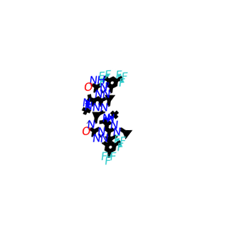 Cc1nn(C(C)(C)C)c2nc(N(CC3CC3)CC3CC3)c(CN(Cc3cc(C(F)(F)F)cc(C(F)(F)F)c3)c3ncc(C(=O)N(C)CC4CC4CN(CC4CC4)c4nc5c(cc4CN(Cc4cc(C(F)(F)F)cc(C(F)(F)F)c4)c4ncc(C(N)=O)cn4)c(C)nn5C(C)(C)C)cn3)cc12